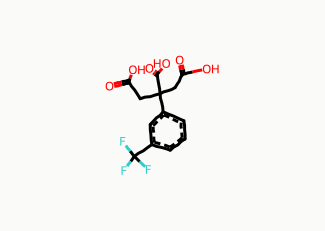 O=C(O)CC(CC(=O)O)(C(=O)O)c1cccc(C(F)(F)F)c1